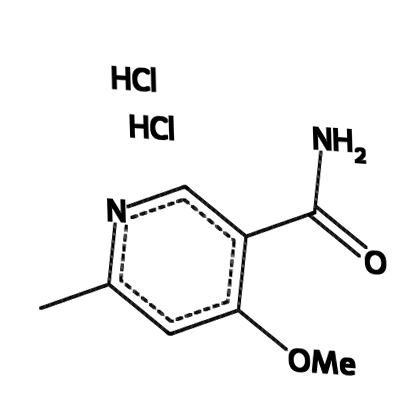 COc1cc(C)ncc1C(N)=O.Cl.Cl